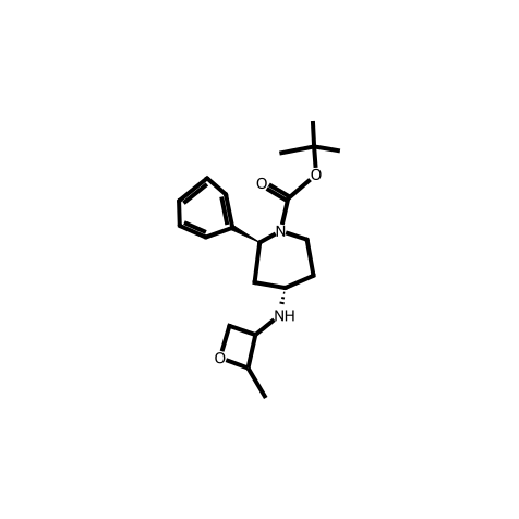 CC1OCC1N[C@H]1CCN(C(=O)OC(C)(C)C)[C@H](c2ccccc2)C1